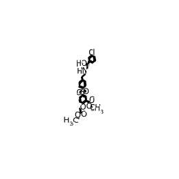 CCOC(=O)COc1ccc(S(=O)(=O)c2ccc(CCNC[C@@H](O)c3cccc(Cl)c3)cc2)cc1C(=O)OC